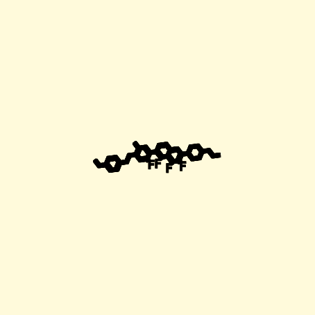 CCCC1CCC(c2cc3ccc(-c4cc(C)c(CCc5ccc(CC)cc5)cc4F)c(F)c3c(F)c2F)CC1